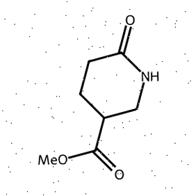 COC(=O)C1CCC(=O)NC1